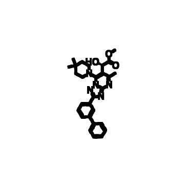 COC(=O)[C@@H](O)c1c(C)nc2nc(-c3cccc(-c4ccccc4)c3)nn2c1N1CCC(C)(C)CC1